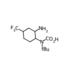 CC(C)(C)N(C(=O)O)C1CCC(C(F)(F)F)CC1N